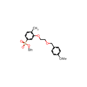 CCCOS(=O)(=O)c1ccc(C)c(OCCOCc2ccc(OC)cc2)c1